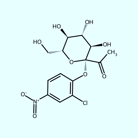 CC(=O)[C@@]1(Oc2ccc([N+](=O)[O-])cc2Cl)O[C@H](CO)[C@@H](O)[C@H](O)[C@H]1O